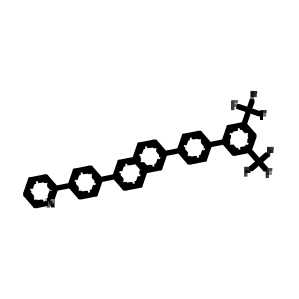 FC(F)(F)c1cc(-c2ccc(-c3ccc4cc(-c5ccc(-c6ccccn6)cc5)ccc4c3)cc2)cc(C(F)(F)F)c1